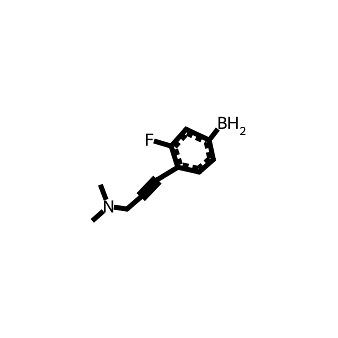 Bc1ccc(C#CCN(C)C)c(F)c1